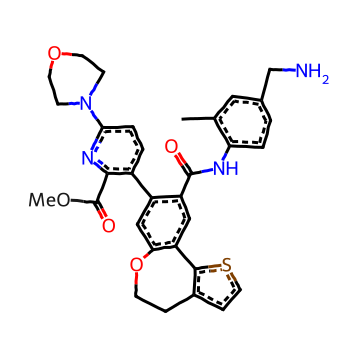 COC(=O)c1nc(N2CCOCC2)ccc1-c1cc2c(cc1C(=O)Nc1ccc(CN)cc1C)-c1sccc1CCO2